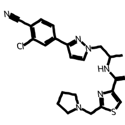 CC(Cn1ccc(-c2ccc(C#N)c(Cl)c2)n1)NC(=O)c1csc(CN2CCCC2)n1